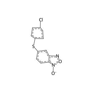 [O-][n+]1onc2cc(Sc3ccc(Cl)cc3)ccc21